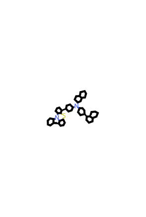 c1cc(-c2ccc(N(c3ccc(-c4cccc5ccccc45)cc3)c3ccc4ccccc4c3)cc2)c2c(c1)-n1c3ccccc3c3cccc(c31)S2